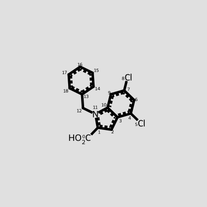 O=C(O)c1cc2c(Cl)cc(Cl)cc2n1Cc1ccccc1